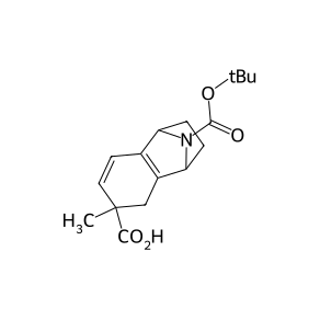 CC(C)(C)OC(=O)N1C2CCC1C1=C2C=CC(C)(C(=O)O)C1